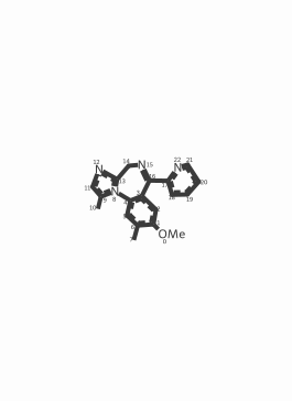 COc1cc2c(cc1C)-n1c(C)cnc1CN=C2c1ccccn1